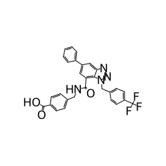 O=C(O)c1ccc(CNC(=O)c2cc(-c3ccccc3)cc3nnn(Cc4ccc(C(F)(F)F)cc4)c23)cc1